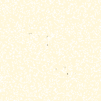 CC(=O)N1CCCC1C(=O)C(C)NC(CCC(=O)O)C(=O)C(C)(C)NCCCCC(C=O)NC(C)(C)C(=O)C(CCC(=O)O)NC(C)(C)C(=O)C1CCCN1C(C)=O